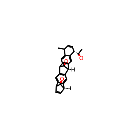 CC(=O)[C@H]1C=CC(C)c2cc3c(cc21)[C@H]1C(=O)C3c2cc3c(cc21)[C@H]1C=CC3C1=O